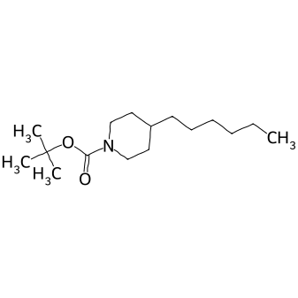 CCCCCCC1CCN(C(=O)OC(C)(C)C)CC1